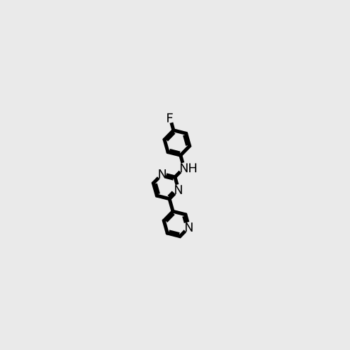 Fc1ccc(Nc2nccc(-c3cccnc3)n2)cc1